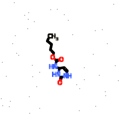 CCCCCOC(=O)NC1C=CNC(=O)N1